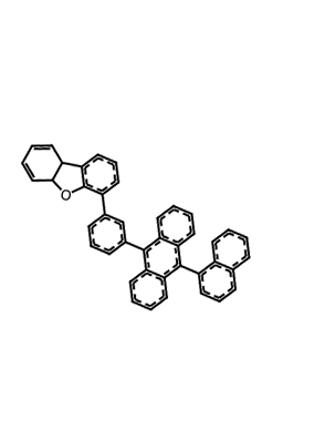 C1=CC2Oc3c(-c4cccc(-c5c6ccccc6c(-c6cccc7ccccc67)c6ccccc56)c4)cccc3C2C=C1